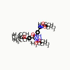 CC(C)[Si](OCc1ccc(C(CNC(=O)OC(C)(C)C)C(=O)Nc2ccc(-c3cnn(C(=O)OC(C)(C)C)c3)cc2)cc1)(C(C)C)C(C)C